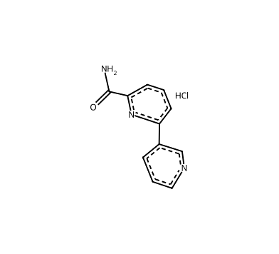 Cl.NC(=O)c1cccc(-c2cccnc2)n1